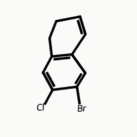 Clc1cc2c(cc1Br)C=CCC2